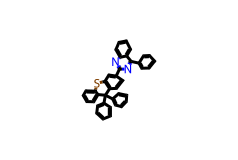 c1ccc(-c2nc(-c3ccc4c(c3)Sc3ccccc3C4(c3ccccc3)c3ccccc3)nc3ccccc23)cc1